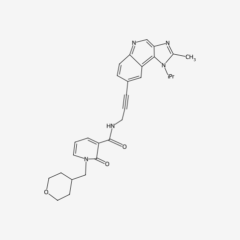 Cc1nc2cnc3ccc(C#CCNC(=O)c4cccn(CC5CCOCC5)c4=O)cc3c2n1C(C)C